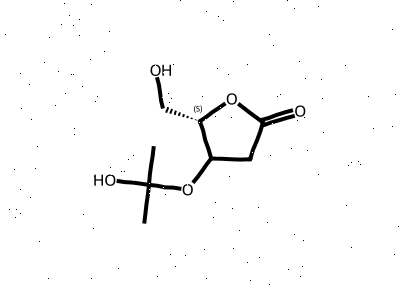 CC(C)(O)OC1CC(=O)O[C@H]1CO